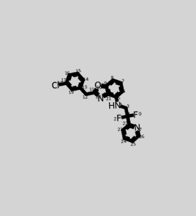 FC(F)(CNc1cccc2oc(Cc3cccc(Cl)c3)nc12)c1ccccn1